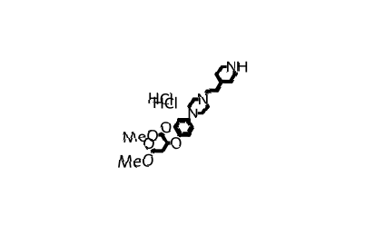 COC(=O)CC(Oc1ccc(N2CCN(CCC3CCNCC3)CC2)cc1)C(=O)OC.Cl.Cl